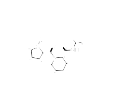 C[C@H](NC(=O)[C@@H]1CCCCN1C(=O)[C@@H]1CCCN1C(=O)O)C(=O)O